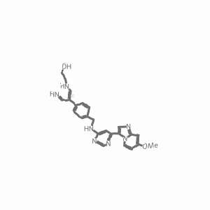 COc1ccn2c(-c3cc(NCc4ccc(/C(C=N)=C/NCCO)cc4)ncn3)cnc2c1